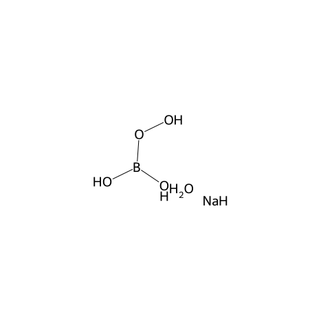 O.OOB(O)O.[NaH]